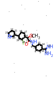 COC(C(=O)NCc1ccc(C(=N)N)cc1)c1ccc(-c2cccnc2)cc1F